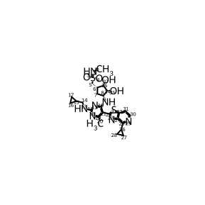 CNS(=O)(=O)C[C@H]1C[C@@H](Nc2nc(NCC3CC3)nc(C)c2-c2nc3c(C4CC4)nccc3s2)[C@H](O)[C@@H]1O